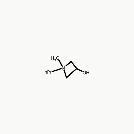 CCC[N+]1(C)CC(O)C1